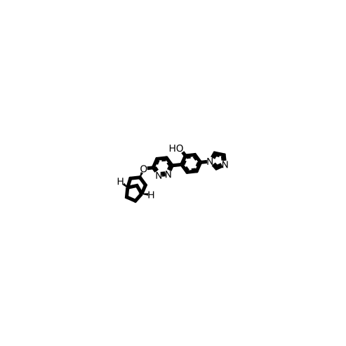 Oc1cc(-n2ccnc2)ccc1-c1ccc(O[C@H]2C[C@@H]3CC[C@@H](C3)C2)nn1